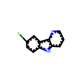 Fc1ccc2[nH]c3cccnc3c2c1